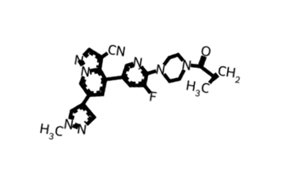 C=C(C)C(=O)N1CCN(c2ncc(-c3cc(-c4cnn(C)c4)cn4ncc(C#N)c34)cc2F)CC1